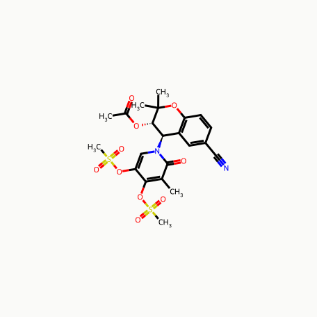 CC(=O)O[C@H]1[C@H](n2cc(OS(C)(=O)=O)c(OS(C)(=O)=O)c(C)c2=O)c2cc(C#N)ccc2OC1(C)C